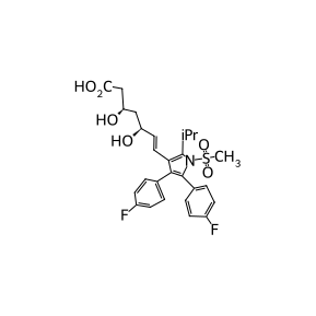 CC(C)c1c(/C=C/[C@@H](O)C[C@@H](O)CC(=O)O)c(-c2ccc(F)cc2)c(-c2ccc(F)cc2)n1S(C)(=O)=O